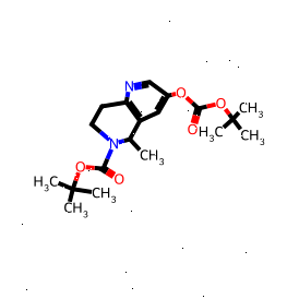 CC1c2cc(OC(=O)OC(C)(C)C)cnc2CCN1C(=O)OC(C)(C)C